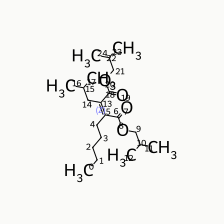 CCCCC/C(C(=O)OCC(C)C)=C(\CC(C)C)C(=O)OCC(C)C